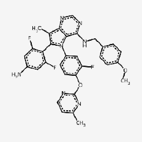 COc1ccc(CNc2ncnc3c(C)c(-c4c(F)cc(N)cc4F)n(-c4ccc(Oc5nccc(C)n5)c(F)c4)c23)cc1